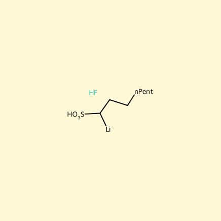 F.[Li][CH](CCCCCCC)S(=O)(=O)O